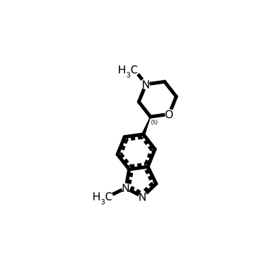 CN1CCO[C@@H](c2ccc3c(cnn3C)c2)C1